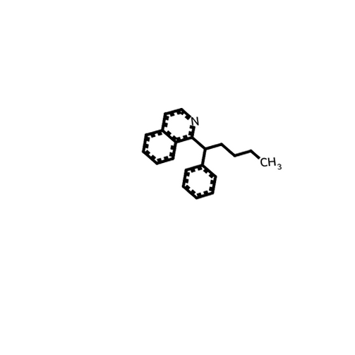 CCCCC(c1ccccc1)c1nccc2ccccc12